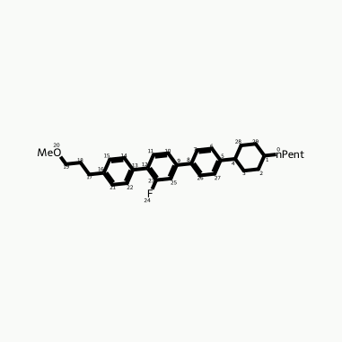 CCCCCC1CCC(c2ccc(-c3ccc(-c4ccc(CCCOC)cc4)c(F)c3)cc2)CC1